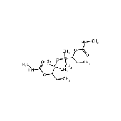 CCC(OC(=O)NC)[Si](C)(C)O[Si](C)(C)C(CC)OC(=O)NC